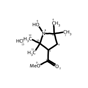 COC(=O)C1CC(C)(C)N(O)C1(C)C.Cl